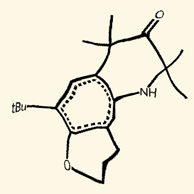 CC1(C)Nc2c(cc(C(C)(C)C)c3c2CCO3)C(C)(C)C1=O